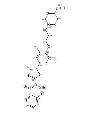 CCCCN(C(=O)c1ccccc1Cl)c1nnc(-c2cc(C)c(OCCCN3CCC(C(=O)O)CC3)c(C)c2)s1